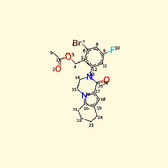 CC(=O)OCc1c(Br)cc(F)cc1N1CCn2c(cc3c2CCCC3)C1=O